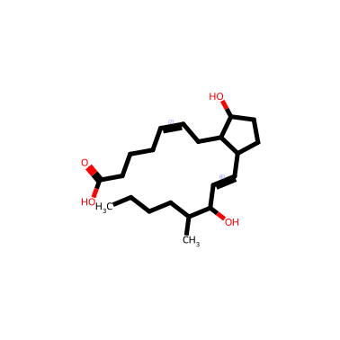 CCCCC(C)C(O)/C=C/C1CCC(O)C1C/C=C\CCCC(=O)O